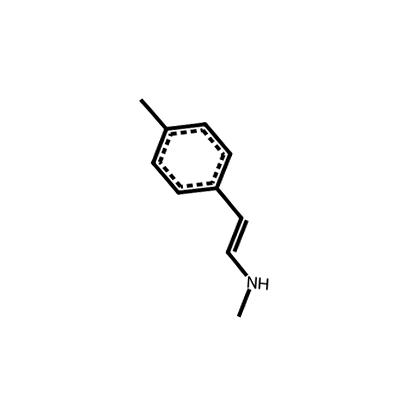 CNC=Cc1ccc(C)cc1